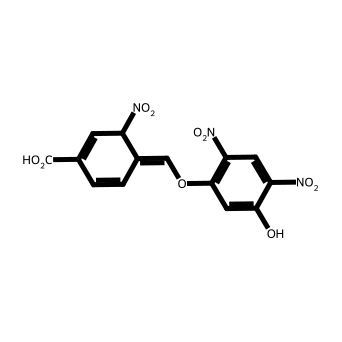 O=C(O)C1=CC([N+](=O)[O-])C(=COc2cc(O)c([N+](=O)[O-])cc2[N+](=O)[O-])C=C1